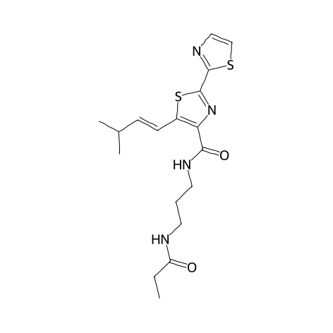 CCC(=O)NCCCNC(=O)c1nc(-c2nccs2)sc1/C=C/C(C)C